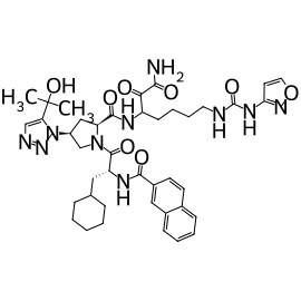 CC(C)(O)c1cnnn1[C@H]1C[C@@H](C(=O)NC(CCCCNC(=O)Nc2ccon2)C(=O)C(N)=O)N(C(=O)[C@@H](CC2CCCCC2)NC(=O)c2ccc3ccccc3c2)C1